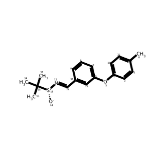 Cc1ccc(Oc2cccc(C=N[S@+]([O-])C(C)(C)C)c2)cc1